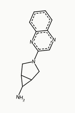 NC1C2CN(c3cnc4ccccc4n3)CC12